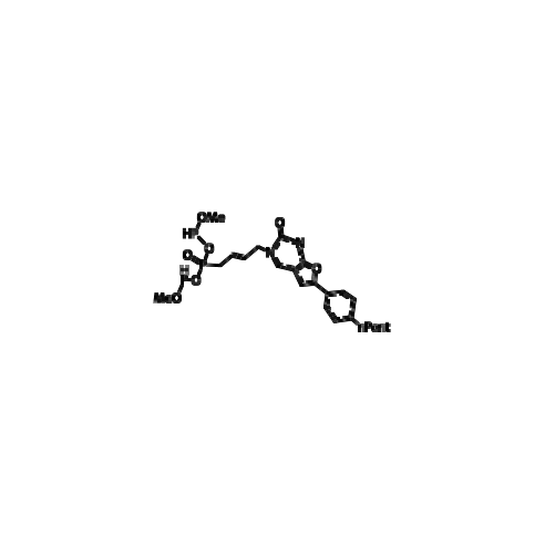 CCCCCc1ccc(-c2cc3cn(C/C=C/CP(=O)(OPOC)OPOC)c(=O)nc3o2)cc1